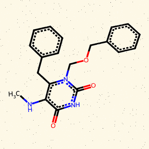 CNc1c(Cc2ccccc2)n(COCc2ccccc2)c(=O)[nH]c1=O